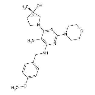 COc1ccc(CNc2nc(N3CCOCC3)nc(N3CC[C@](C)(O)C3)c2N)cc1